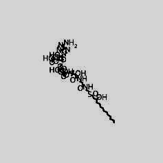 CCCCCCCCCCC[C@H](O)CC(=O)SCCNC(=O)CCNC(=O)[C@H](O)C(C)(C)COP(=O)(O)OP(=O)(O)OC[C@H]1O[C@@H](n2cnc3c(N)ncnc32)[C@H](O)[C@@H]1OP(=O)(O)O